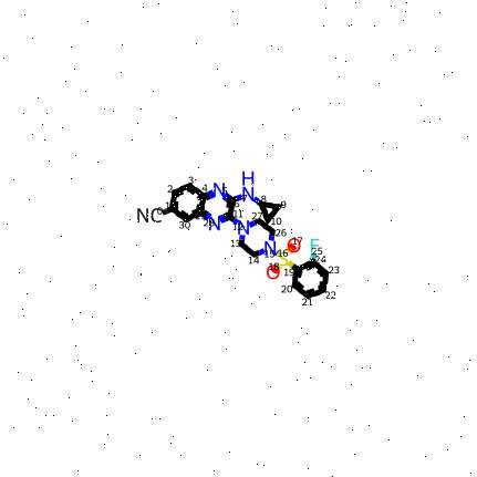 N#Cc1ccc2nc(NC3CC3)c(N3CCN(S(=O)(=O)c4ccccc4F)CC3)nc2c1